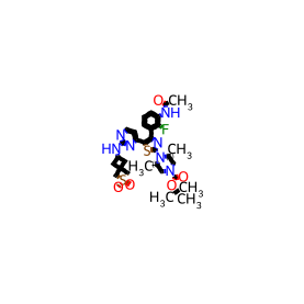 CC(=O)Nc1cccc(-c2nc(N3[C@@H](C)CN(C(=O)OC(C)(C)C)C[C@@H]3C)sc2-c2ccnc(NC3CC4(C3)CS(=O)(=O)C4)n2)c1F